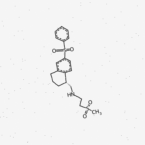 CS(=O)(=O)CCNC[C@@H]1CCCc2cc(S(=O)(=O)c3ccccc3)ccc21